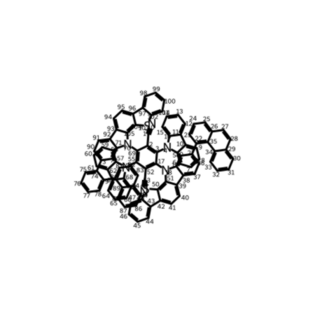 N#Cc1c(-n2c3ccccc3c3ccccc32)c(-n2c3cc(-c4cccc5ccc6ccccc6c45)ccc3c3ccc4c5ccccc5sc4c32)c(C#N)c(-n2c3ccccc3c3ccccc32)c1-n1c2cc(-c3ccccc3-c3cccc4ccccc34)ccc2c2ccc3c4ccccc4sc3c21